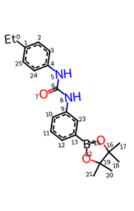 CCc1ccc(NC(=O)Nc2cccc(B3OC(C)(C)C(C)(C)O3)c2)cc1